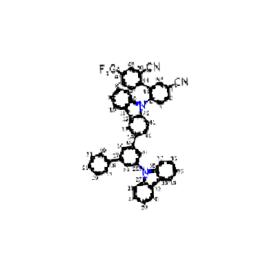 N#Cc1ccc(-n2c3ccccc3c3cc(-c4cc(-c5ccccc5)cc(-n5c6ccccc6c6ccccc65)c4)ccc32)c(-c2ccc(C(F)(F)F)cc2C#N)c1